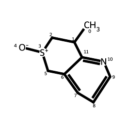 CC1C[S+]([O-])Cc2cccnc21